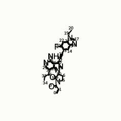 C=CC(=O)N1CC[C@H](n2nc(C#Cc3cc4ncn(CC)c4cc3F)c3c(N)ncc(C(=O)CC)c32)C1